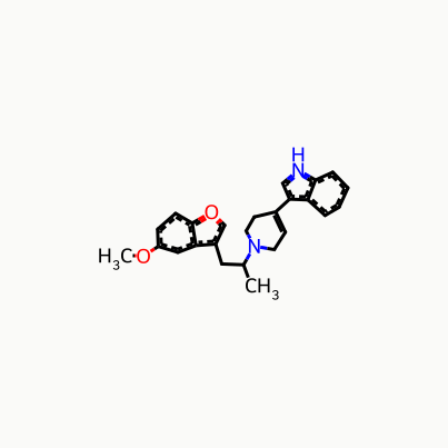 COc1ccc2occ(CC(C)N3CC=C(c4c[nH]c5ccccc45)CC3)c2c1